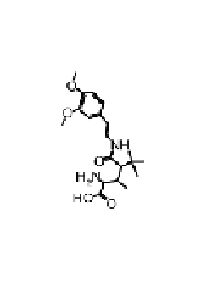 COc1ccc(CCNC(=O)C(C(C)C(N)C(=O)O)C(C)(C)C)cc1OC